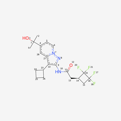 CC(C)(O)c1ccn2nc(NC(=O)C[C@@H]3CC(F)(F)C3(F)F)c(C3CCC3)c2c1